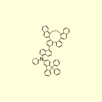 C1=CCCC(N(c2ccc3c(c2)-c2ccccc2C3(c2ccccc2)c2ccccc2)c2cccc3c(-c4ccc5c(c4)-c4ccccc4-c4ccc6ccccc6c4CCCc4c-5ccc5ccccc45)cccc23)=C1